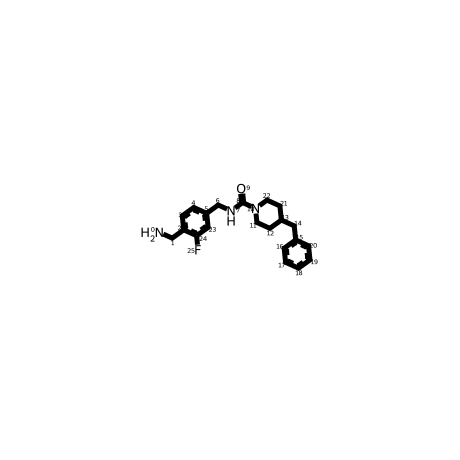 NCc1ccc(CNC(=O)N2CCC(Cc3ccccc3)CC2)cc1F